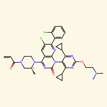 C=CC(=O)N1CCN(c2nc(=O)n(-c3c(C4CC4)nc(OCCN(C)C)nc3C3CC3)c3nc(-c4ccccc4F)c(F)cc23)[C@@H](C)C1